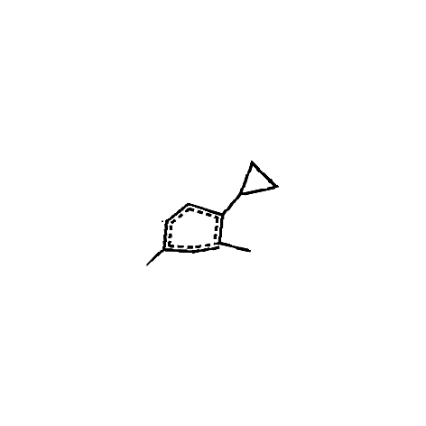 Cc1[c]cc(C2CC2)c(C)c1